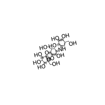 OCC1=C[C@H](N[C@H]2CC(CO)[C@@H](O[C@@H]3OC(CO)[C@H](O)C(O)[C@H]3O)[C@H](O)[C@@H]2O)[C@H](O)[C@@H](O)[C@@H]1O